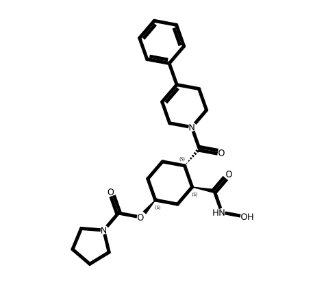 O=C(NO)[C@H]1C[C@@H](OC(=O)N2CCCC2)CC[C@@H]1C(=O)N1CC=C(c2ccccc2)CC1